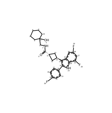 O=C(NCC1(O)CCCCC1)[C@H]1C[C@H](c2c(-c3ccc(F)cc3)[nH]c3c(F)cc(F)cc32)C1